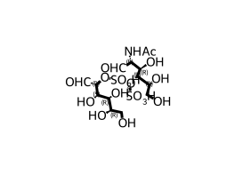 CC(=O)N[C@@H](C=O)[C@@H](O)[C@@H](OS(=O)(=O)O)[C@H](O)CO.O=C[C@H](OS(=O)(=O)O)[C@@H](O)[C@H](O)[C@H](O)CO